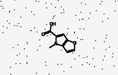 Cn1c(C(=O)O)cc2occc21